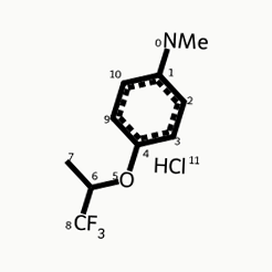 CNc1ccc(OC(C)C(F)(F)F)cc1.Cl